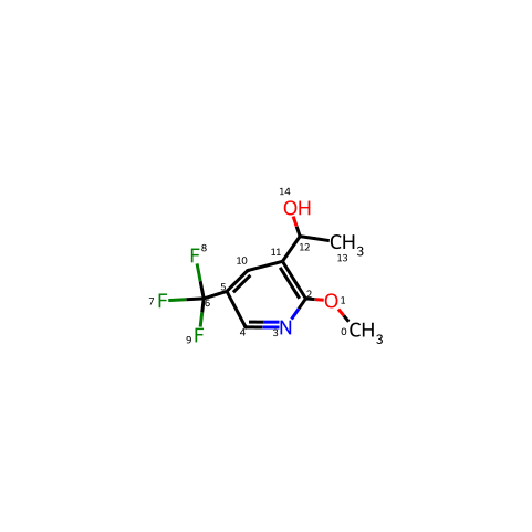 COc1ncc(C(F)(F)F)cc1C(C)O